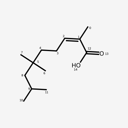 CC(=CCCC(C)(C)CC(C)C)C(=O)O